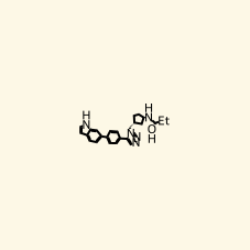 CCC(O)N[C@H]1CC[C@@H](Cn2nncc2-c2ccc(-c3ccc4cc[nH]c4c3)cc2)C1